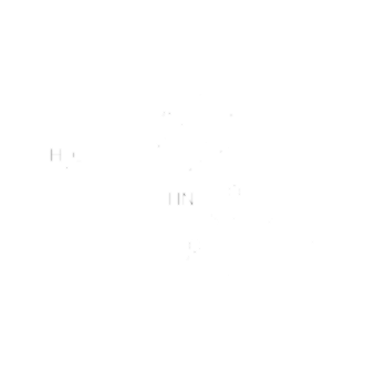 C=CCC1C2CCC(CC2)C1NS(=O)(=O)c1ccccc1